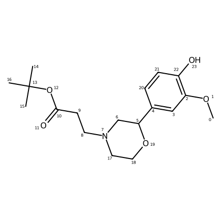 COc1cc(C2CN(CCC(=O)OC(C)(C)C)CCO2)ccc1O